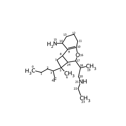 CCCC(F)C1(C)CC2C3=C(CCCC3N)OC(C(C)CNCC)C21